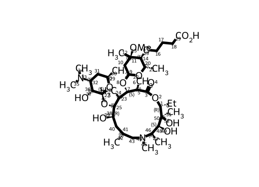 CC[C@H]1OC(=O)[C@H](C)[C@@H](OC2C[C@@](C)(OC)[C@@H](OCCCC(=O)O)[C@H](C)O2)[C@H](C)[C@@H](O[C@@H]2O[C@H](C)C[C@H](N(C)C)[C@H]2O)[C@H](O)C[C@@H](C)CN(C)[C@H](C)[C@H](O)[C@]1(C)O